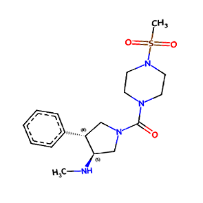 CN[C@@H]1CN(C(=O)N2CCN(S(C)(=O)=O)CC2)C[C@H]1c1ccccc1